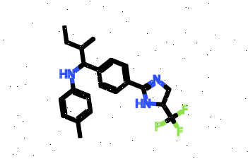 CCC(C)C(Nc1ccc(C)cc1)c1ccc(C2=NCC(C(F)(F)F)N2)cc1